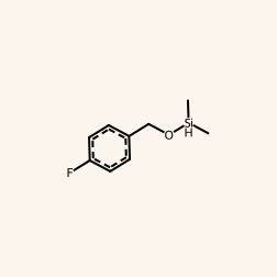 C[SiH](C)OCc1ccc(F)cc1